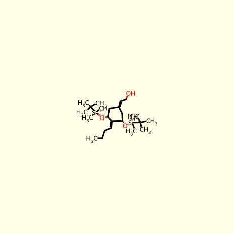 CCCC=C1[C@H](O[Si](C)(C)C(C)(C)C)CC(=CCO)C[C@H]1O[Si](C)(C)C(C)(C)C